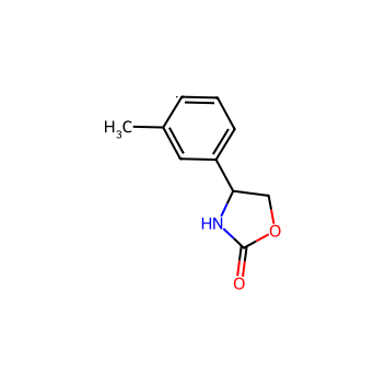 Cc1[c]ccc(C2COC(=O)N2)c1